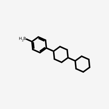 Bc1ccc(C2CCC(C3CCCCC3)CC2)cc1